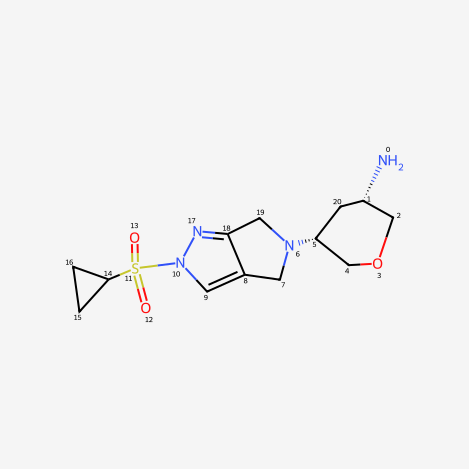 N[C@@H]1COC[C@H](N2Cc3cn(S(=O)(=O)C4CC4)nc3C2)C1